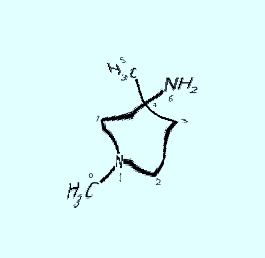 CN1CCC(C)(N)C1